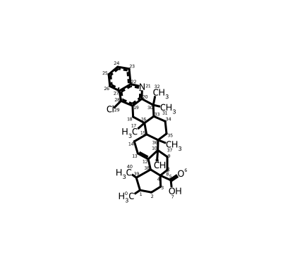 CC1CCC2(C(=O)O)CCC3(C)C(=CCC4C5(C)Cc6c(nc7ccccc7c6Cl)C(C)(C)C5CCC43C)C2C1C